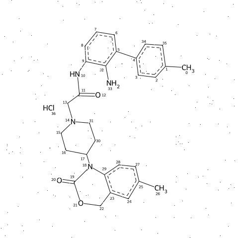 Cc1ccc(-c2cccc(NC(=O)CN3CCC(N4C(=O)OCc5cc(C)ccc54)CC3)c2N)cc1.Cl